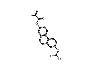 C=C(C)C(=O)Oc1ccc2c(ccc3cc(OC(=O)CC)ccc32)c1